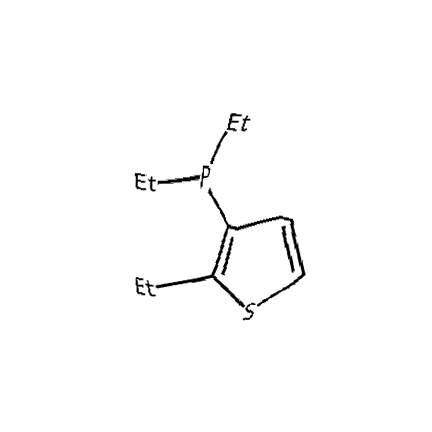 CCc1sccc1P(CC)CC